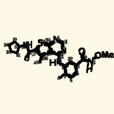 CONC(=O)c1ccc(C)c(Nc2ncnc3sc(C(=O)NC4CCCC4)c(C)c23)c1